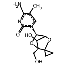 Cc1cn([C@@H]2O[C@]3(CO)C(O)C2OC32CC2)c(=O)nc1N